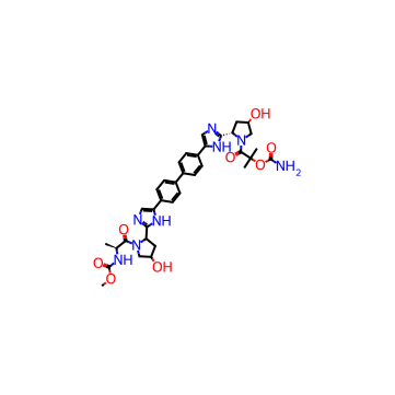 COC(=O)N[C@@H](C)C(=O)N1CC(O)CC1c1ncc(-c2ccc(-c3ccc(-c4cnc([C@@H]5C[C@@H](O)CN5C(=O)C(C)(C)OC(N)=O)[nH]4)cc3)cc2)[nH]1